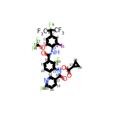 O=C(Nc1c(I)cc(C(F)(C(F)(F)F)C(F)(F)F)cc1OC(F)F)c1cccc(N(OC(=O)C2CC2)C(=O)c2ccc(F)nc2)c1F